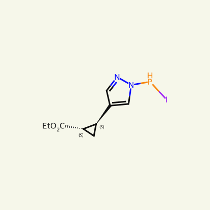 CCOC(=O)[C@H]1C[C@@H]1c1cnn(PI)c1